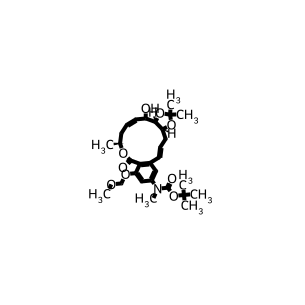 COCOc1cc(N(C)C(=O)OC(C)(C)C)cc2c1C(=O)O[C@@H](C)C/C=C\C(O)[C@H]1OC(C)(C)O[C@H]1C/C=C/2